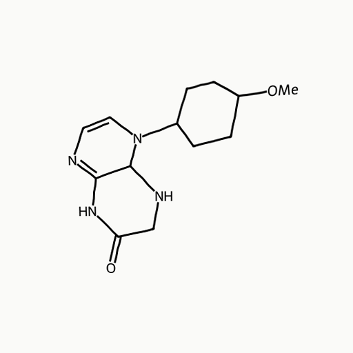 COC1CCC(N2C=CN=C3NC(=O)CNC32)CC1